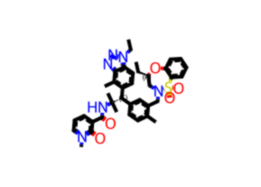 CC[C@@H]1CN(Cc2cc([C@@H](c3ccc4c(nnn4CC)c3C)C(C)(C)NC(=O)c3cccn(C)c3=O)ccc2C)S(=O)(=O)c2ccccc2O1